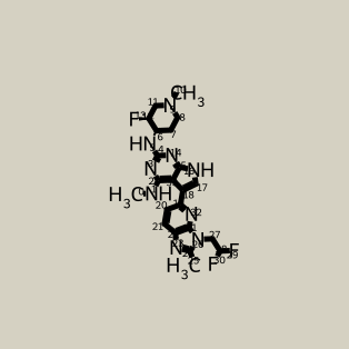 CNc1nc(N[C@H]2CCN(C)C[C@@H]2F)nc2[nH]cc(-c3ccc4nc(C)n(CC(F)F)c4n3)c12